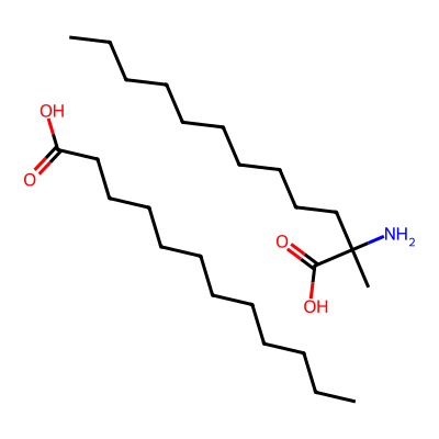 CCCCCCCCCCC(C)(N)C(=O)O.CCCCCCCCCCCC(=O)O